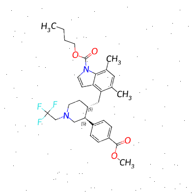 CCCCOC(=O)n1ccc2c(C[C@H]3CCN(CC(F)(F)F)C[C@@H]3c3ccc(C(=O)OC)cc3)c(C)cc(C)c21